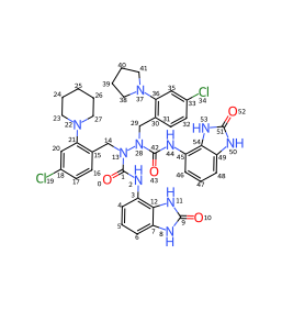 O=C(Nc1cccc2[nH]c(=O)[nH]c12)N(Cc1ccc(Cl)cc1N1CCCCC1)N(Cc1ccc(Cl)cc1N1CCCC1)C(=O)Nc1cccc2[nH]c(=O)[nH]c12